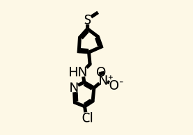 CSc1ccc(CNc2ncc(Cl)cc2[N+](=O)[O-])cc1